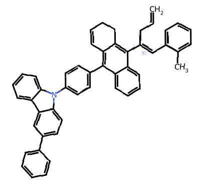 C=CC/C(=C\c1ccccc1C)c1c2c(c(-c3ccc(-n4c5ccccc5c5cc(-c6ccccc6)ccc54)cc3)c3ccccc13)C=CCC2